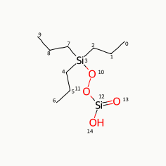 CCC[Si](CCC)(CCC)OO[Si](=O)O